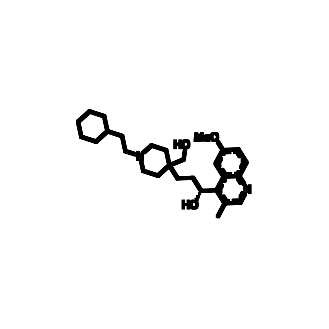 COc1ccc2ncc(C)c([C@H](O)CCC3(CO)CCN(CCC4CCCCC4)CC3)c2c1